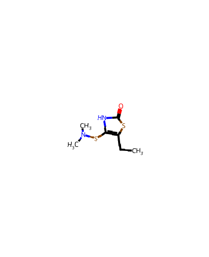 CCc1sc(=O)[nH]c1SN(C)C